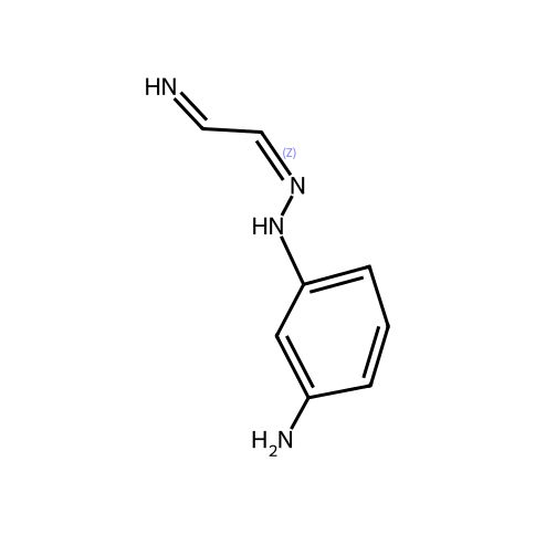 N=C/C=N\Nc1cccc(N)c1